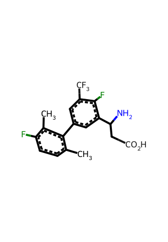 Cc1ccc(F)c(C)c1-c1cc(C(N)CC(=O)O)c(F)c(C(F)(F)F)c1